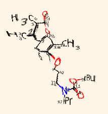 Cc1c(C)c2ccc(OCCCN(C(=O)OC(C)(C)C)C(C)C)c(C)c2oc1=O